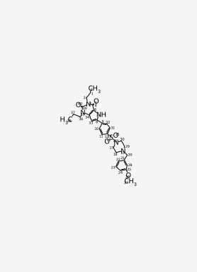 CCCn1c(=O)c2[nH]c(-c3ccc(S(=O)(=O)N4CCN(Cc5cccc(OC)c5)CC4)cc3)cc2n(CCC)c1=O